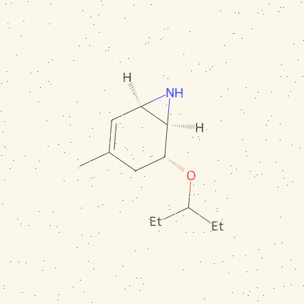 CCC(CC)O[C@@H]1CC(C)=C[C@H]2N[C@H]21